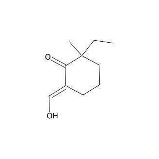 CCC1(C)CCC/C(=C\O)C1=O